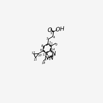 Cc1c(CCC(=O)O)cc(C2CC2)c2c1nnn2C